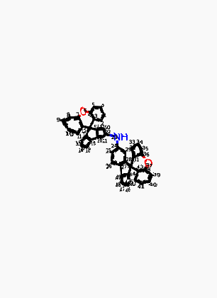 c1ccc2c(c1)Oc1ccccc1C21c2ccccc2-c2cc(Nc3ccc4c(c3)C3(c5ccccc5Oc5ccccc53)c3ccccc3-4)ccc21